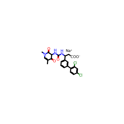 CC1=CN(C)C(=O)C(NC(=O)NC(CC(=O)[O-])c2cccc(-c3ccc(Cl)cc3Cl)c2)C1=O.[Na+]